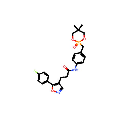 CC1(C)COP(=O)(Cc2ccc(NC(=O)CCc3cnoc3-c3ccc(F)cc3)cc2)OC1